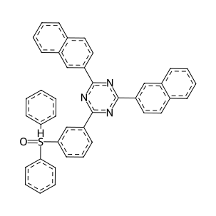 O=[SH](c1ccccc1)(c1ccccc1)c1cccc(-c2nc(-c3ccc4ccccc4c3)nc(-c3ccc4ccccc4c3)n2)c1